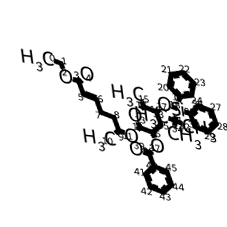 CCOC(=O)/C=C/CCC(C)OC1OC(C)C(O[Si](c2ccccc2)(c2ccccc2)C(C)(C)C)CC1OC(=O)c1ccccc1